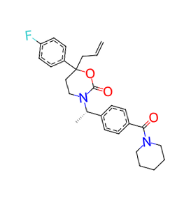 C=CCC1(c2ccc(F)cc2)CCN([C@@H](C)c2ccc(C(=O)N3CCCCC3)cc2)C(=O)O1